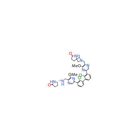 COc1nc(-c2cccc(-c3cccc(-c4cnc(CN5CC6(CCC(=O)N6)C5)c(OC)n4)c3Cl)c2Cl)cnc1CNC[C@@H]1CCC(=O)N1